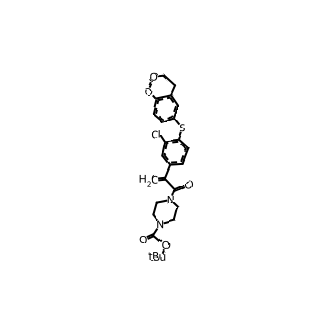 C=C(C(=O)N1CCN(C(=O)OC(C)(C)C)CC1)c1ccc(Sc2ccc3c(c2)CCOO3)c(Cl)c1